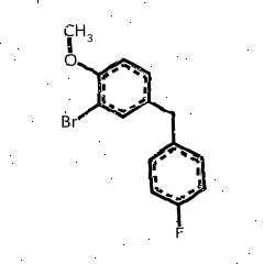 COc1ccc(Cc2ccc(F)cc2)cc1Br